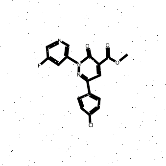 COC(=O)c1cc(-c2ccc(Cl)cc2)nn(-c2cncc(F)c2)c1=O